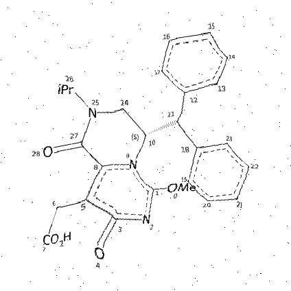 COc1nc(=O)c(CC(=O)O)c2n1[C@@H](C(c1ccccc1)c1ccccc1)CN(C(C)C)C2=O